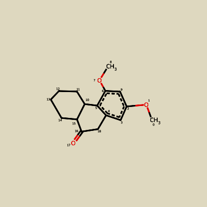 COc1cc2c(c(OC)c1)C1CCCCC1C(=O)C2